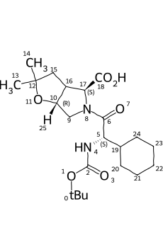 CC(C)(C)OC(=O)N[C@H](C(=O)N1C[C@@H]2OC(C)(C)CC2[C@H]1C(=O)O)C1CCCCC1